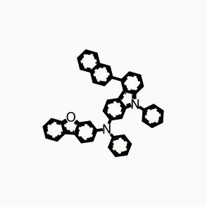 c1ccc(N(c2ccc3c(c2)oc2ccccc23)c2ccc3c4c(-c5ccc6ccccc6c5)cccc4n(-c4ccccc4)c3c2)cc1